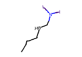 CCCBCN(I)I